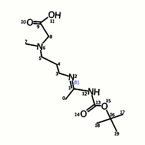 C/C(=N\CCCN(C)CC(=O)O)NC(=O)OC(C)(C)C